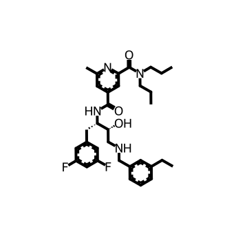 CCCN(CCC)C(=O)c1cc(C(=O)N[C@@H](Cc2cc(F)cc(F)c2)[C@H](O)CNCc2cccc(CC)c2)cc(C)n1